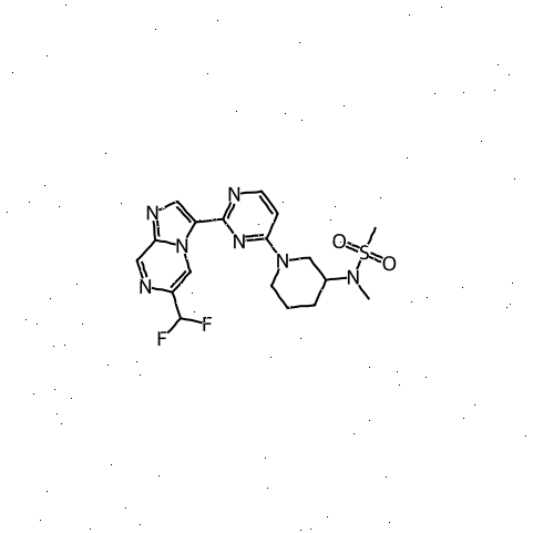 CN(C1CCCN(c2ccnc(-c3cnc4cnc(C(F)F)cn34)n2)C1)S(C)(=O)=O